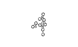 C1=CCC(C2=CCC(N(c3ccc(-c4cccc5c4sc4ccccc45)cc3)c3cccc4c3oc3c4ccc4c3c3c(n4-c4ccccc4)CCC=C3)C=C2)C=C1